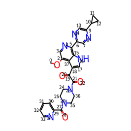 COc1cnc(-c2cnc(C3CC3)cn2)c2[nH]cc(C(=O)C(=O)N3CCN(C(=O)c4ccccn4)CC3)c12